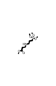 COC(=O)CCNCCC[Si](OC)(OC)OC